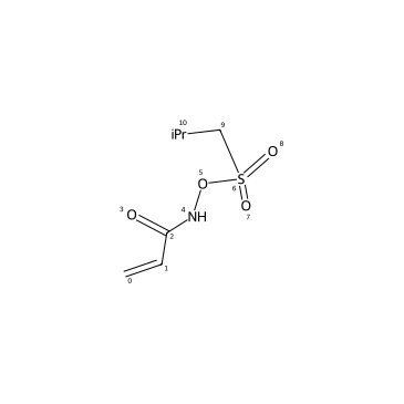 C=CC(=O)NOS(=O)(=O)CC(C)C